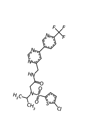 CC(C)N(CC(=O)NCc1cc(-c2ccc(C(F)(F)F)nc2)ncn1)S(=O)(=O)c1ccc(Cl)s1